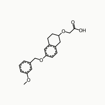 COc1cccc(COc2ccc3c(c2)CCC(OCC(=O)O)C3)c1